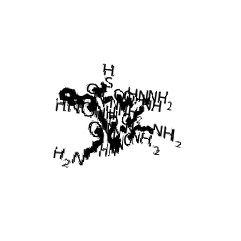 CC(O)C(N)C(=O)NCCN(C(=O)CCS)C(Cc1c[nH]c2ccccc12)C(=O)NCCN(C(=O)CCCCCN)C(Cc1cnc[nH]1)C(=O)NCCN(C(=O)CCCCNC(=N)N)C(CCCCN)C(N)=O